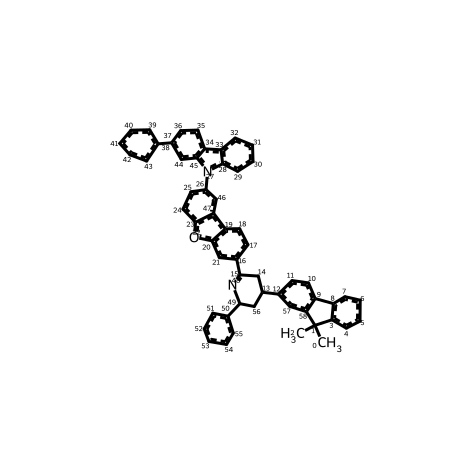 CC1(C)c2ccccc2-c2ccc(C3CC(c4ccc5c(c4)oc4ccc(-n6c7ccccc7c7ccc(-c8ccccc8)cc76)cc45)=NC(c4ccccc4)C3)cc21